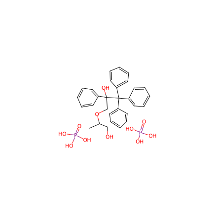 CC(CO)OCC(O)(c1ccccc1)C(c1ccccc1)(c1ccccc1)c1ccccc1.O=P(O)(O)O.O=P(O)(O)O